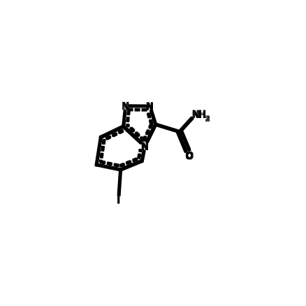 NC(=O)c1nnc2ccc(I)cn12